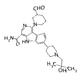 CC(C)(O)CN1CCC(c2ccc3c(c2)[nH]c2c(C(N)=O)cnc(N4CCCC(C=O)C4)c23)CC1